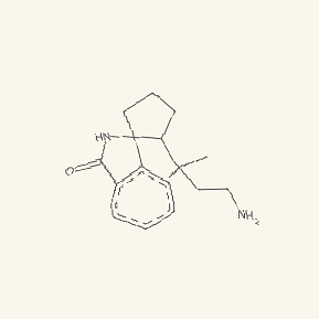 CC(C)(CCN)C1CCCC12NC(=O)c1ccccc12